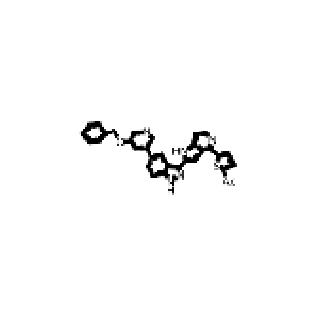 CC(=O)c1ccc(-c2nccc3[nH]c(-c4n[nH]c5ccc(-c6cncc(OCc7ccccc7)c6)cc45)cc23)s1